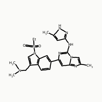 CCS(=O)(=O)n1cc(CN(C)C)c2ccc(-c3cc4nc(C)cn4c(Nc4cc(C)[nH]n4)n3)cc21